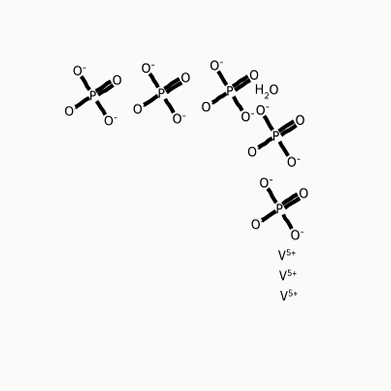 O.O=P([O-])([O-])[O-].O=P([O-])([O-])[O-].O=P([O-])([O-])[O-].O=P([O-])([O-])[O-].O=P([O-])([O-])[O-].[V+5].[V+5].[V+5]